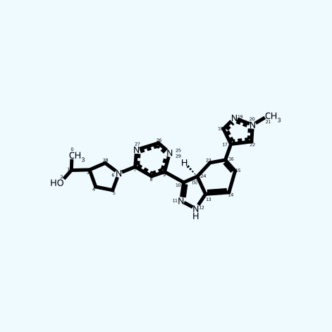 CC(O)C1CCN(c2cc(C3=NNC4=CC=C(c5cnn(C)c5)C[C@@H]43)ncn2)C1